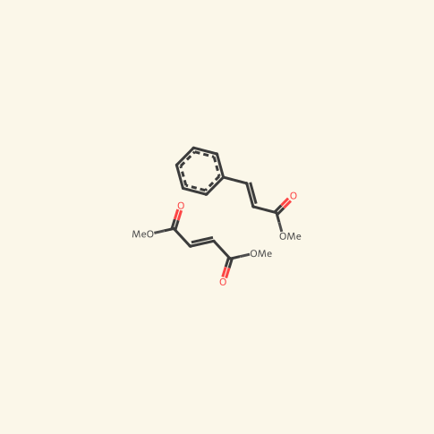 COC(=O)C=CC(=O)OC.COC(=O)C=Cc1ccccc1